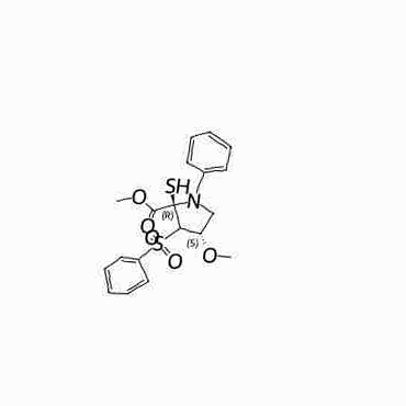 COC(=O)[C@@]1(S)C(S(=O)(=O)c2ccccc2)[C@@H](OC)CN1c1ccccc1